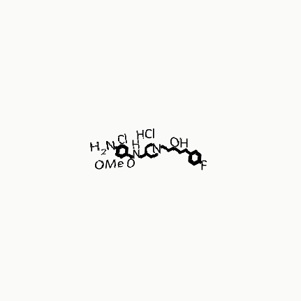 COc1cc(N)c(Cl)cc1C(=O)NCC1CCN(CCC(O)CCc2ccc(F)cc2)CC1.Cl